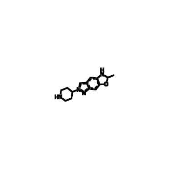 CC1Nc2cc3cn(C4CCNCC4)nc3cc2O1